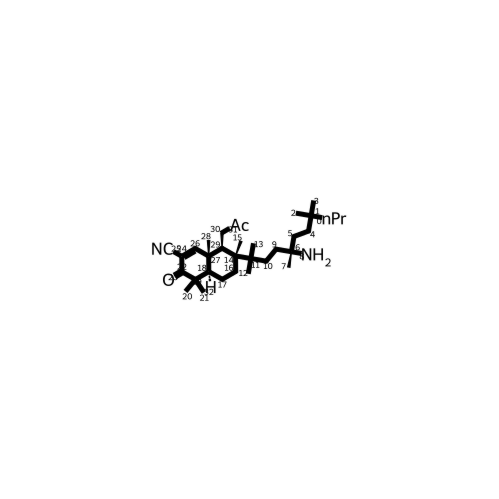 CCCC(C)(C)CC[C@](C)(N)CCC(C)(C)[C@]1(C)CC[C@H]2C(C)(C)C(=O)C(C#N)=C[C@]2(C)[C@H]1CC(C)=O